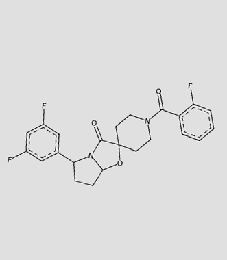 O=C(c1ccccc1F)N1CCC2(CC1)OC1CCC(c3cc(F)cc(F)c3)N1C2=O